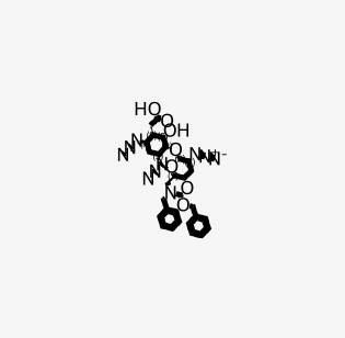 [N-]=[N+]=N[C@H]1C[C@@H](N=[N+]=[N-])[C@H](CC(=O)O)[C@H](O)[C@@H]1O[C@H]1O[C@H](CN(Cc2ccccc2)C(=O)OCc2ccccc2)CC[C@H]1N=[N+]=[N-]